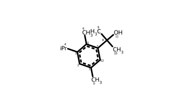 Cc1cc(C(C)C)c(C)c(C(C)(C)O)c1